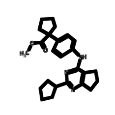 COC(=O)C1(c2ccc(Nc3nc(C4CCCC4)nc4c3CCC4)cc2)CCCC1